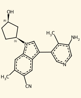 Cc1cc2c(cc1C#N)c(-c1cncc(N)c1C)cn2[C@H]1CC[C@@H](O)C1